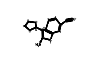 Bc1sc2cc(C#N)ccc2c1C1CCCC1